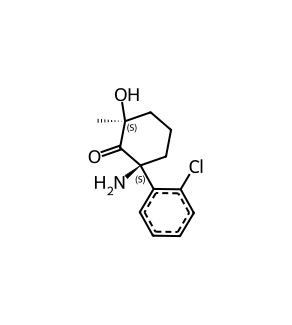 C[C@]1(O)CCC[C@](N)(c2ccccc2Cl)C1=O